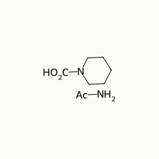 CC(N)=O.O=C(O)N1CCCCC1